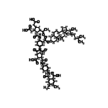 CC(=O)C1CC(CC(=O)O)C(CC(=O)O)C1C(=O)Nc1ccc(N2C(=O)C3CC(C2=O)C(C(=O)Nc2ccc(NC(=O)c4cc(C)c(C)cc4C(=O)O)cc2)C3C(=O)O)cc1C(=O)OC1CCC2(C)C(=CCC3C2CCC2(C)C(C(C)CCCC(C)C)CCC32)C1